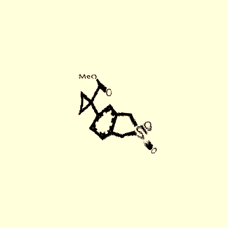 COC(=O)C1(c2ccc3c(c2)CS(=O)(=O)C3)CC1